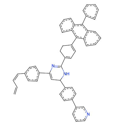 C=C/C=C\c1ccc(C2=CC(c3ccc(-c4cccnc4)cc3)NC(C3=CC=C(c4c5ccccc5c(-c5ccccc5)c5ccccc45)CC3)=N2)cc1